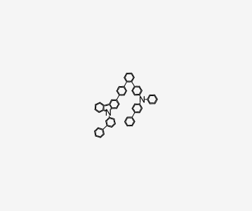 c1ccc(-c2ccc(N(c3ccccc3)c3ccc(-c4ccccc4-c4ccc(-c5ccc6c(c5)c5ccccc5n6-c5cccc(-c6ccccc6)c5)cc4)cc3)cc2)cc1